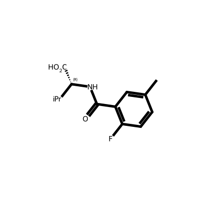 Cc1ccc(F)c(C(=O)N[C@@H](C(=O)O)C(C)C)c1